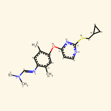 CCN(C)C=Nc1cc(C)c(Oc2ccnc(SCC3CC3)n2)cc1C